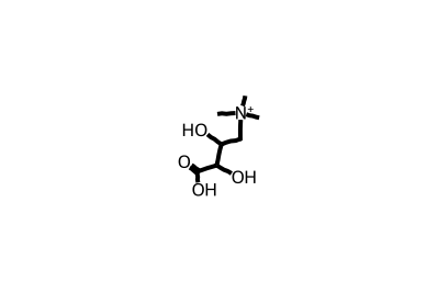 C[N+](C)(C)CC(O)C(O)C(=O)O